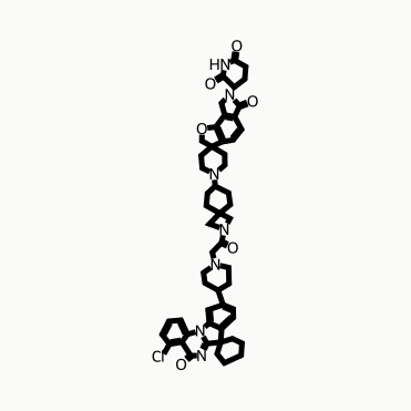 O=C1CC[C@H](N2Cc3c(ccc4c3OCC43CCN(C4CCC5(CC4)CN(C(=O)CN4CCC(c6ccc7c(c6)-n6c(nc(=O)c8c(Cl)cccc86)C76CCCCC6)CC4)C5)CC3)C2=O)C(=O)N1